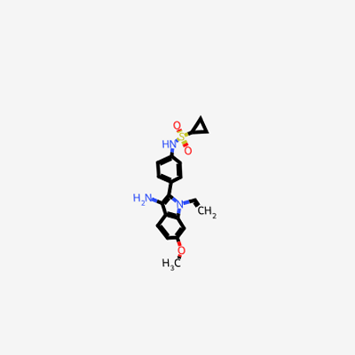 C=Cn1c(-c2ccc(NS(=O)(=O)C3CC3)cc2)c(N)c2ccc(OC)cc21